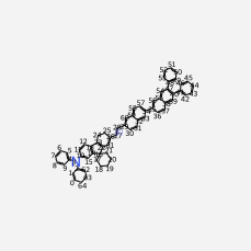 C1=CC(N(c2ccccc2)c2ccc3c(c2)C2(CCCCC2)C2=C3CCC(/C=C/c3ccc4cc(-c5ccc6cc(-c7ccccc7)c(-c7ccccc7)cc6c5)ccc4c3)=C2)=CCC1